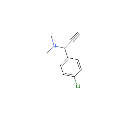 C#CC(c1ccc(Cl)cc1)N(C)C